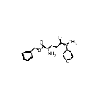 CN(C(=O)CCC(N)C(=O)OCc1ccccc1)C1CCOCC1